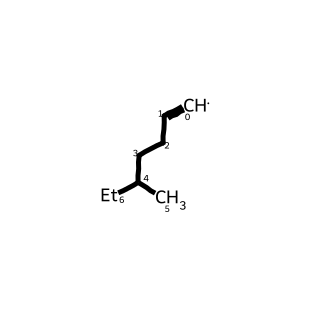 [CH]=CCCC(C)CC